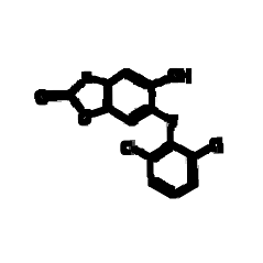 O=c1oc2cc(Sc3c(Cl)cccc3Cl)c(O)cc2s1